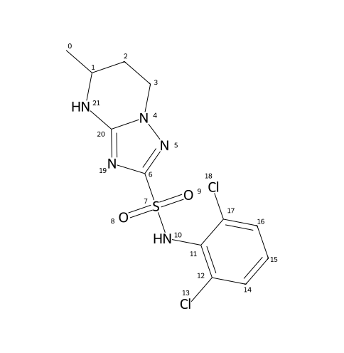 CC1CCn2nc(S(=O)(=O)Nc3c(Cl)cccc3Cl)nc2N1